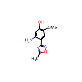 COc1cc(-c2noc(C)n2)c(N)cc1O